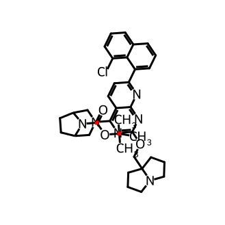 CC(C)(C)OC(=O)N1C2CCC1CN(c1nc(OCC34CCCN3CCC4)nc3nc(-c4cccc5cccc(Cl)c45)ccc13)C2